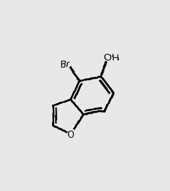 Oc1ccc2occc2c1Br